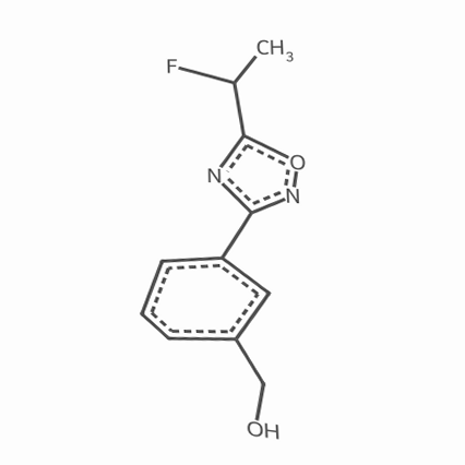 CC(F)c1nc(-c2cccc(CO)c2)no1